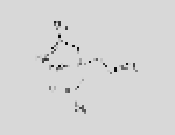 C=CC[N+](C)(CC(=C)C)CC(=C)C